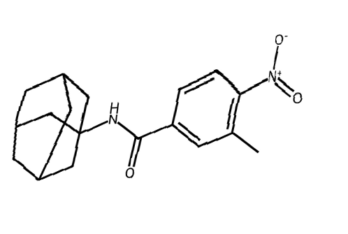 Cc1cc(C(=O)NC23CC4CC(CC(C4)C2)C3)ccc1[N+](=O)[O-]